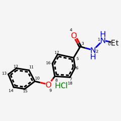 CCNNC(=O)c1ccc(Oc2ccccc2)cc1.Cl